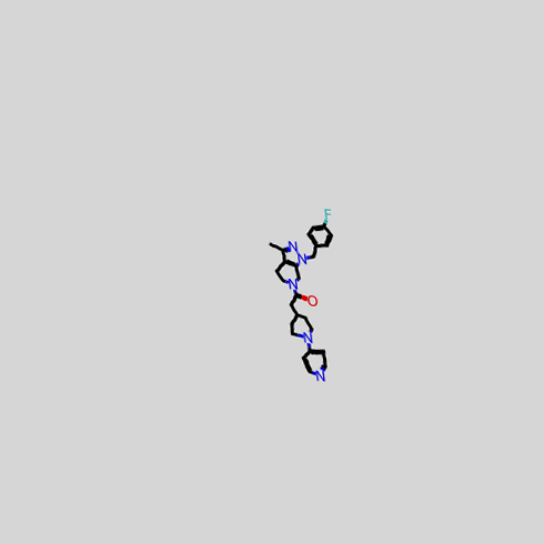 Cc1nn(Cc2ccc(F)cc2)c2c1CCN(C(=O)CC1CCN(c3ccncc3)CC1)C2